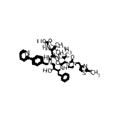 Cc1nc(CN2CCN([C@H](C(=O)N[C@@H](Cc3ccccc3)[C@@H](O)CN(Cc3ccc(-c4ccccn4)cc3)NC(=O)C(NC(=O)O)C(C)(C)C)C(C)C)C2=O)cs1